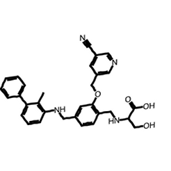 Cc1c(NCc2ccc(CNC(CO)C(=O)O)c(OCc3cncc(C#N)c3)c2)cccc1-c1ccccc1